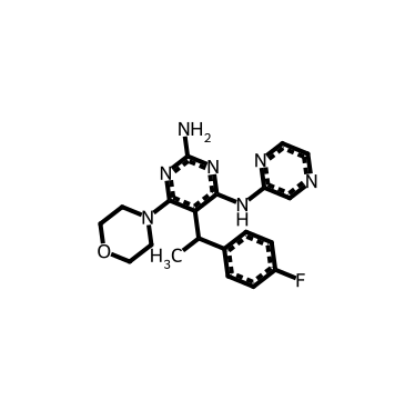 CC(c1ccc(F)cc1)c1c(Nc2cnccn2)nc(N)nc1N1CCOCC1